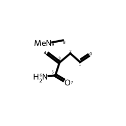 C=CCC(=C)C(N)=O.CNC